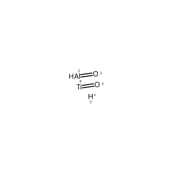 [H+].[O]=[AlH].[O]=[Ti]